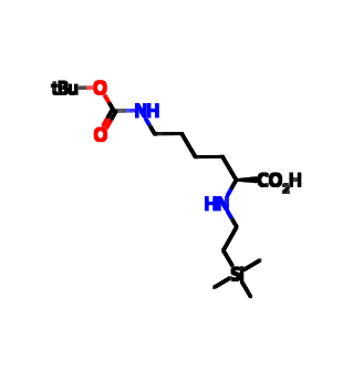 CC(C)(C)OC(=O)NCCCC[C@H](NCC[Si](C)(C)C)C(=O)O